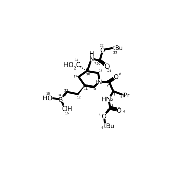 CC(C)C(NC(=O)OC(C)(C)C)C(=O)N1C[C@@H](CCB(O)O)C[C@](NC(=O)OC(C)(C)C)(C(=O)O)C1